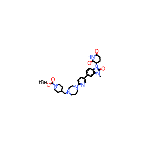 Cn1c(=O)n(C2CCC(=O)NC2=O)c2ccc(-c3ccc(N4CCCN(CC5CCN(C(=O)OC(C)(C)C)CC5)CC4)nc3)cc21